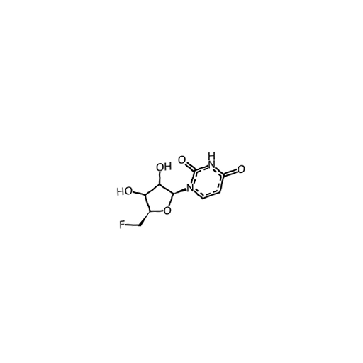 O=c1ccn([C@H]2O[C@@H](CF)C(O)C2O)c(=O)[nH]1